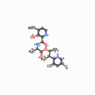 COc1ccnc(C(=O)NC(C)C(=O)OC(C)C(C)c2ncc(Cl)cc2Cl)c1O